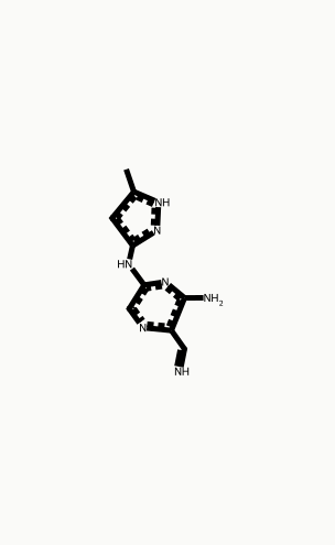 Cc1cc(Nc2cnc(C=N)c(N)n2)n[nH]1